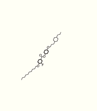 CCCCCCCCCCOc1ccc(C(=O)Oc2ccc(OCCCC3CCC(CCC)CC3)cc2)cc1F